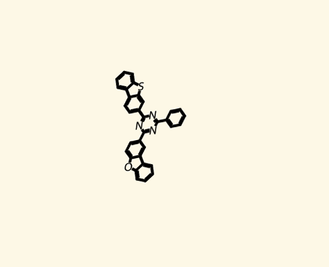 c1ccc(-c2nc(-c3ccc4c(c3)sc3ccccc34)nc(-c3ccc4oc5ccccc5c4c3)n2)cc1